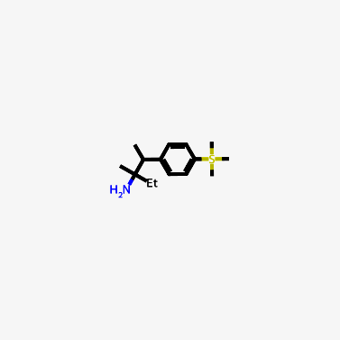 CCC(C)(N)C(C)c1ccc(S(C)(C)C)cc1